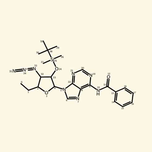 CCC1OC(n2cnc3c(NC(=O)c4ccccc4)ncnc32)C(O[Si](C)(C)C(C)(C)C)C1N=[N+]=[N-]